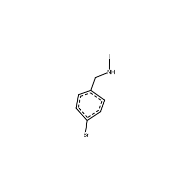 Brc1ccc(CNI)cc1